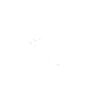 CCCCCCCCCCCCCCCCCCc1cccc[n+]1CCCCC